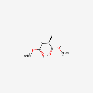 CCCCCCOC(=O)C[C@@H](C)C(=O)OCCCCCC